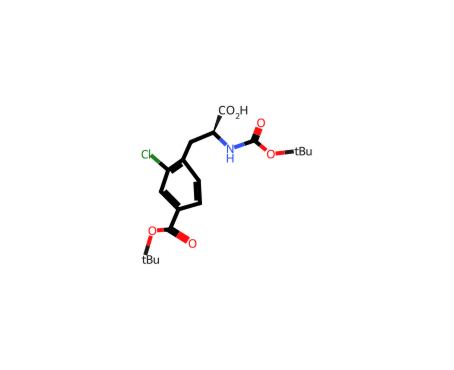 CC(C)(C)OC(=O)N[C@@H](Cc1ccc(C(=O)OC(C)(C)C)cc1Cl)C(=O)O